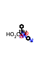 CN(C)c1ccc(NC(=O)N(CCc2ccccc2)C(=O)[C@H](C(=O)O)C(C)(C)C)cc1